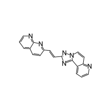 C(=Cc1nc2c3cccnc3ccn2n1)c1ccc2cccnc2n1